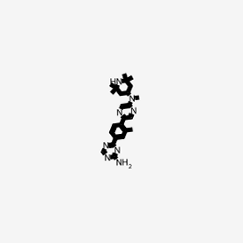 Cc1cc(-c2ncnc(N)n2)ccc1-c1cnc(N(C)C2CC(C)(C)NC(C)(C)C2)cn1